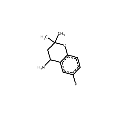 CC1(C)CC(N)c2cc(F)ccc2O1